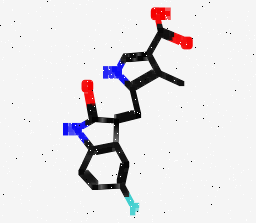 Cc1c(C(=O)O)c[nH]c1/C=C1\C(=O)Nc2ccc(F)cc21